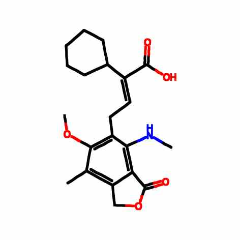 CNc1c(C/C=C(/C(=O)O)C2CCCCC2)c(OC)c(C)c2c1C(=O)OC2